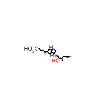 CC#CCC(C)[C@H](O)/C=C/[C@H]1CC[C@@H]2C/C(=C\CCCC(=O)O)C[C@@H]21